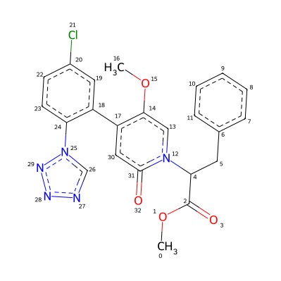 COC(=O)C(Cc1ccccc1)n1cc(OC)c(-c2cc(Cl)ccc2-n2cnnn2)cc1=O